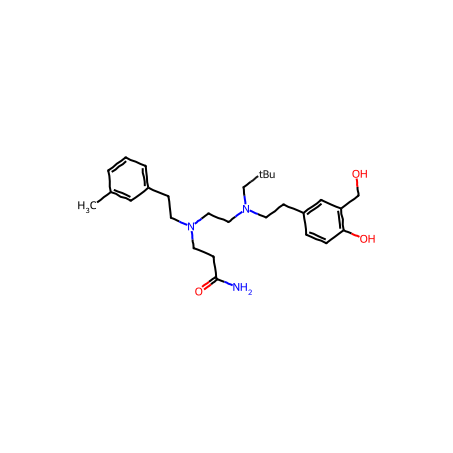 Cc1cccc(CCN(CCC(N)=O)CCN(CCc2ccc(O)c(CO)c2)CC(C)(C)C)c1